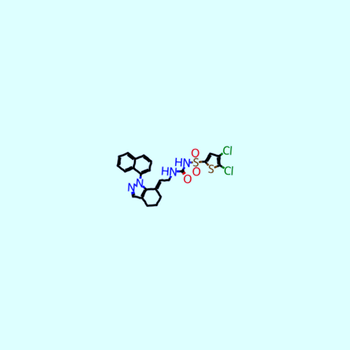 O=C(NCC=C1CCCc2cnn(-c3cccc4ccccc34)c21)NS(=O)(=O)c1cc(Cl)c(Cl)s1